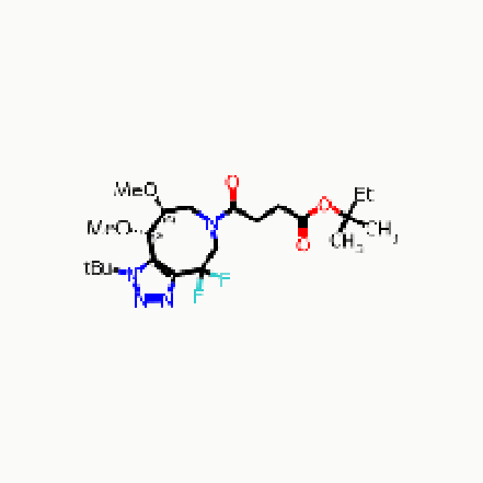 CCC(C)(C)OC(=O)CCC(=O)N1C[C@H](OC)[C@@H](OC)c2c(nnn2C(C)(C)C)C(F)(F)C1